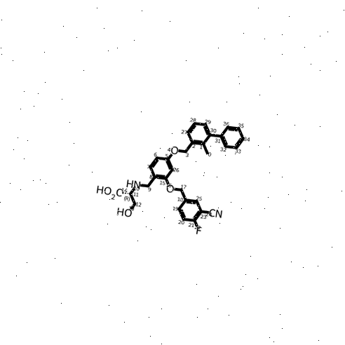 Cc1c(COc2ccc(CN[C@H](CO)C(=O)O)c(OCc3ccc(F)c(C#N)c3)c2)cccc1-c1ccccc1